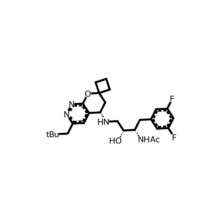 CC(=O)N[C@@H](Cc1cc(F)cc(F)c1)[C@H](O)CN[C@H]1CC2(CCC2)Oc2nnc(CC(C)(C)C)cc21